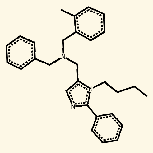 CCCCn1c(CN(Cc2ccccc2)Cc2ccccc2C)cnc1-c1ccccc1